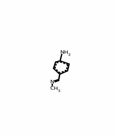 C/N=C/c1ccc(N)cc1